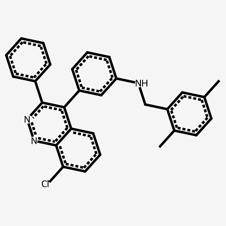 Cc1ccc(C)c(CNc2cccc(-c3c(-c4ccccc4)nnc4c(Cl)cccc34)c2)c1